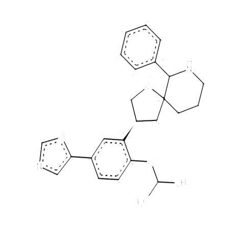 CC(C)Oc1ccc(-c2cnco2)cc1[C@H]1COC2(CCCNC2c2ccccc2)C1